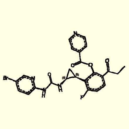 CCC(=O)c1ccc(F)c([C@@H]2C[C@@H]2NC(=O)Nc2ccc(Br)cn2)c1OC(=O)c1ccncc1